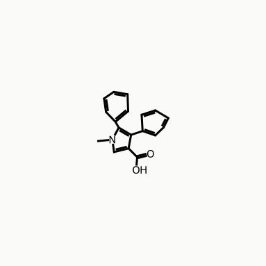 Cn1cc(C(=O)O)c(-c2ccccc2)c1-c1ccccc1